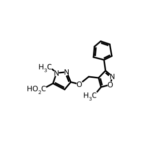 Cc1onc(-c2ccccc2)c1COc1cc(C(=O)O)n(C)n1